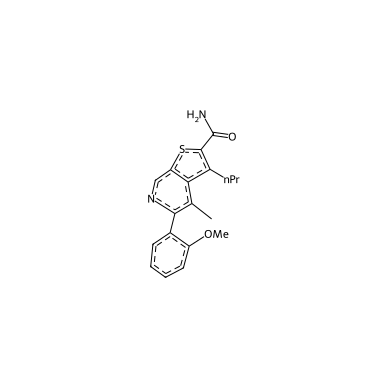 CCCc1c(C(N)=O)sc2cnc(-c3ccccc3OC)c(C)c12